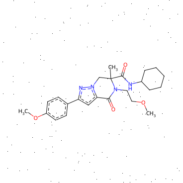 COCCN1C(=O)c2cc(-c3ccc(OC)cc3)nn2CC1(C)C(=O)NC1CCCCC1